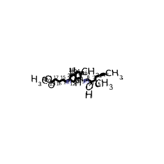 CC#CCC(C)[C@H](O)/C=C/[C@@H]1[C@H]2C/C(=C/CCCC(=O)OC)C[C@H]2C[C@H]1C